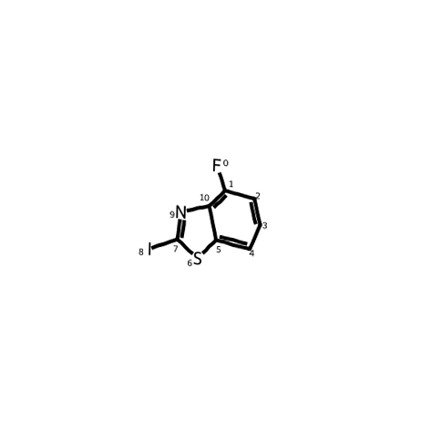 Fc1cccc2sc(I)nc12